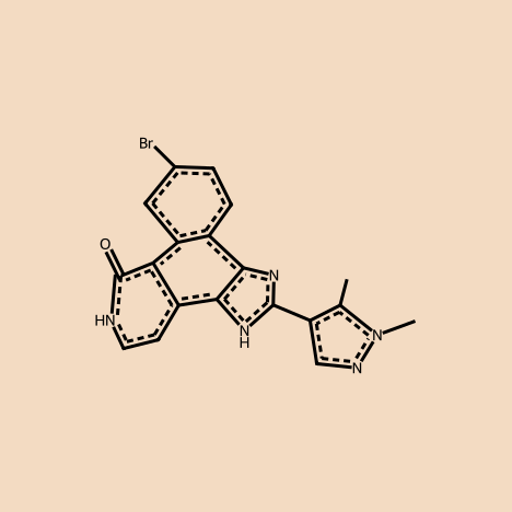 Cc1c(-c2nc3c4ccc(Br)cc4c4c(=O)[nH]ccc4c3[nH]2)cnn1C